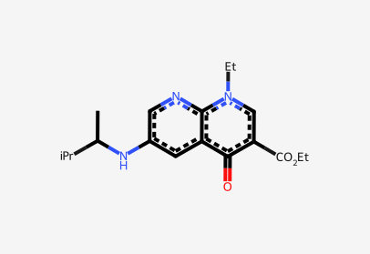 CCOC(=O)c1cn(CC)c2ncc(NC(C)C(C)C)cc2c1=O